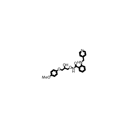 COc1ccc(OCC(O)CONC(=O)c2ccccc2NCc2ccncc2)cc1